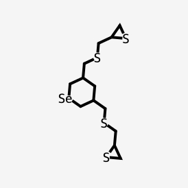 C(SCC1CS1)C1C[Se]CC(CSCC2CS2)C1